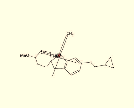 C=C1NC(=O)C2(N1)c1cc(CCC3CC3)ccc1CC21CCC(OC)CC1